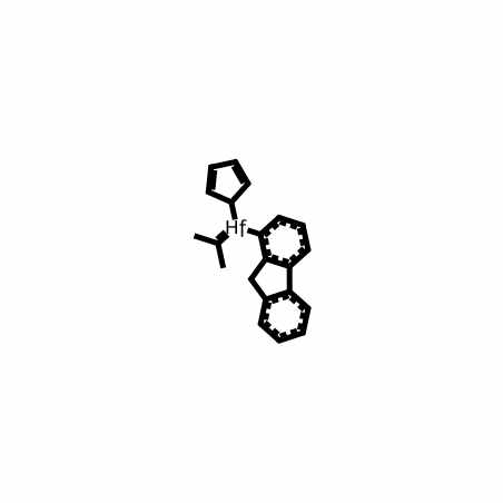 C[C](C)=[Hf]([c]1cccc2c1Cc1ccccc1-2)[CH]1C=CC=C1